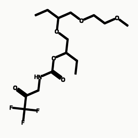 CCC(COCCOC)OCC(CC)OC(=O)NCC(=O)C(F)(F)F